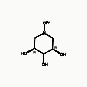 CCCN1C[C@@H](O)C(O)[C@@H](O)C1